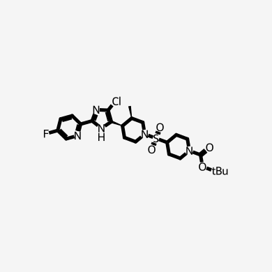 C[C@H]1CN(S(=O)(=O)C2CCN(C(=O)OC(C)(C)C)CC2)CC[C@H]1c1[nH]c(-c2ccc(F)cn2)nc1Cl